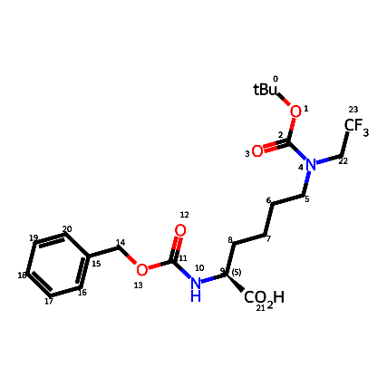 CC(C)(C)OC(=O)N(CCCC[C@H](NC(=O)OCc1ccccc1)C(=O)O)CC(F)(F)F